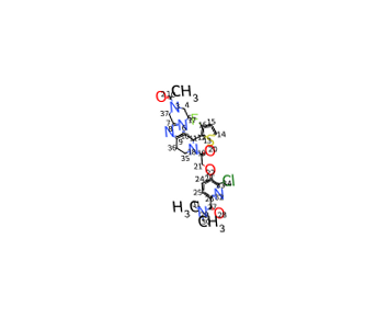 CC(=O)N1CCn2c(nc3c2C(c2sccc2F)N(C(=O)COc2ccc(C(=O)N(C)C)nc2Cl)CC3)C1